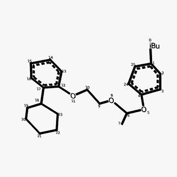 CCC(C)c1ccc(OC(C)OCCOc2ccccc2C2CCCCC2)cc1